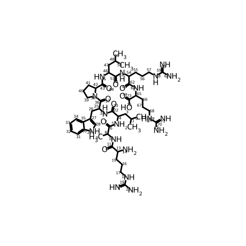 CC(C)CC(NC(=O)C(C)NC(=O)C(N)CCCNC(=N)N)C(=O)NC(Cc1c[nH]c2ccccc12)C(=O)N1CCCC1C(=O)NC(CC(C)C)C(=O)NC(CCCNC(=N)N)C(=O)NC(CCCNC(=N)N)C(=O)O